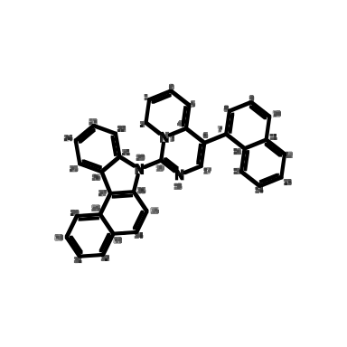 C1=CCN2C(=C1)C(c1cccc3ccccc13)=CN=C2n1c2ccccc2c2c3ccccc3ccc21